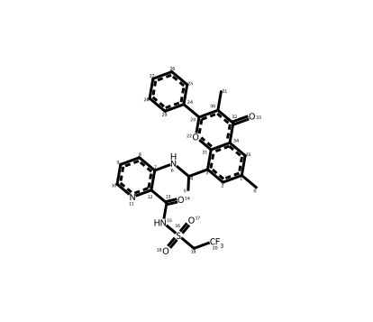 Cc1cc(C(C)Nc2cccnc2C(=O)NS(=O)(=O)CC(F)(F)F)c2oc(-c3ccccc3)c(C)c(=O)c2c1